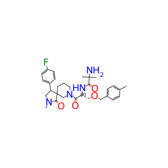 Cc1ccc(COC[C@@H](NC(=O)C(C)(C)N)C(=O)N2CCCC3(C2)C(=O)N(C)CC3c2ccc(F)cc2)cc1